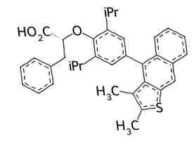 Cc1sc2cc3ccccc3c(-c3cc(C(C)C)c(O[C@H](Cc4ccccc4)C(=O)O)c(C(C)C)c3)c2c1C